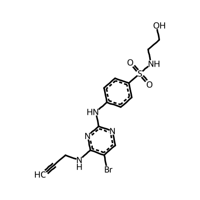 C#CCNc1nc(Nc2ccc(S(=O)(=O)NCCO)cc2)ncc1Br